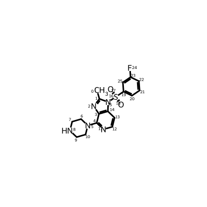 Cc1nc2c(N3CCNCC3)nccc2n1S(=O)(=O)c1cccc(F)c1